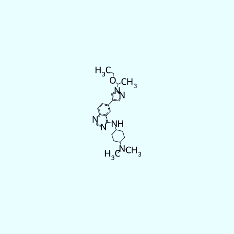 CCOC(C)n1cc(-c2ccc3ncnc(NC4CCC(N(C)C)CC4)c3c2)cn1